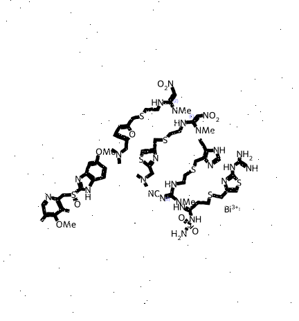 CN/C(=C/[N+](=O)[O-])NCCSCc1ccc(CN(C)C)o1.CN/C(=C\[N+](=O)[O-])NCCSCc1csc(CN(C)C)n1.CN/C(=N/C#N)NCCSCc1nc[nH]c1C.COc1ccc2[nH]c(S(=O)Cc3ncc(C)c(OC)c3C)nc2c1.N=C(N)Nc1nc(CSCCC(=N)NS(N)(=O)=O)cs1.[Bi+3]